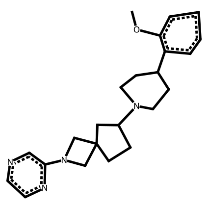 COc1ccccc1C1CCN(C2CCC3(C2)CN(c2cnccn2)C3)CC1